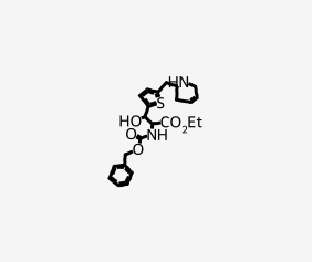 CCOC(=O)C(NC(=O)OCc1ccccc1)C(O)c1ccc(CC2CC=CCN2)s1